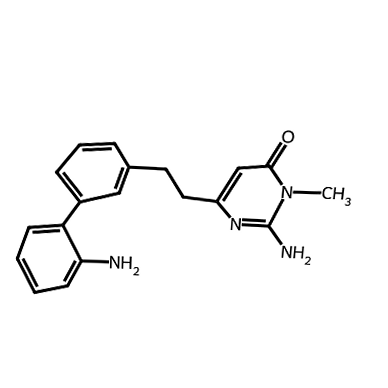 Cn1c(N)nc(CCc2cccc(-c3ccccc3N)c2)cc1=O